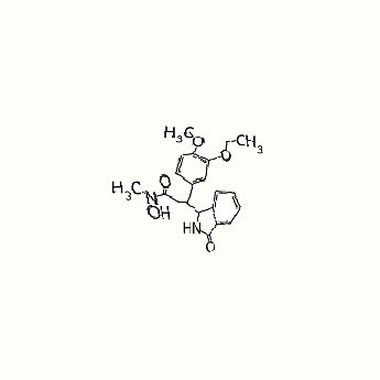 CCOc1cc(C(CC(=O)N(C)O)C2NC(=O)c3ccccc32)ccc1OC